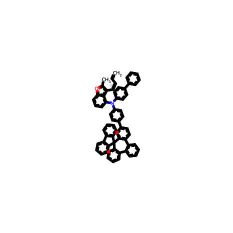 C=C/C=C\c1c(C)oc2cccc(N(c3ccc(-c4ccccc4)cc3)c3ccc(-c4ccc5c(c4)C4(c6ccccc6-c6ccccc6-5)c5ccccc5-c5ccccc54)cc3)c12